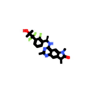 Cc1nc(N[C@H](C)c2cccc(C(F)(F)C(C)(C)O)c2F)c2cc3c(cc2n1)C(C)C(=O)N3C